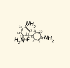 NC1=CC(F)(c2ccc(N)cc2)C(N)C=C1